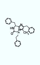 Cc1c(Cc2ccccc2)nc2n1[C@H](CCc1ccccc1)C(=O)NC2Cc1ccccc1